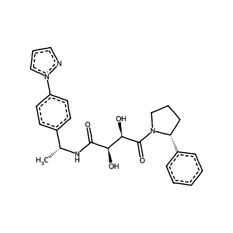 C[C@@H](NC(=O)[C@H](O)[C@@H](O)C(=O)N1CCC[C@@H]1c1ccccc1)c1ccc(-n2cccn2)cc1